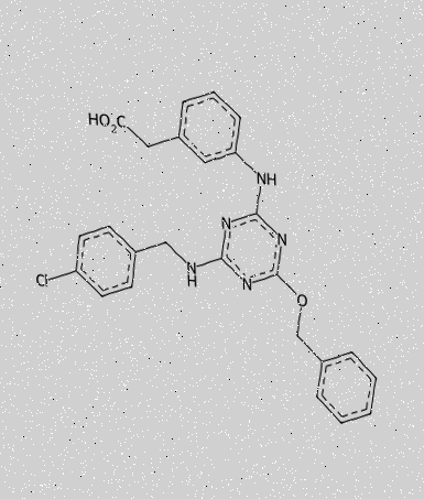 O=C(O)Cc1cccc(Nc2nc(NCc3ccc(Cl)cc3)nc(OCc3ccccc3)n2)c1